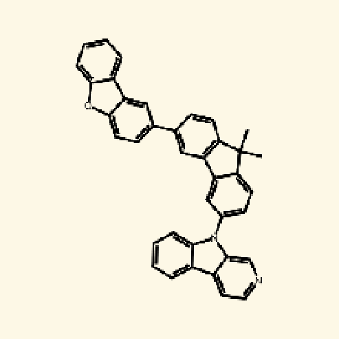 CC1(C)c2ccc(-c3ccc4oc5ccccc5c4c3)cc2-c2cc(-n3c4ccccc4c4ccncc43)ccc21